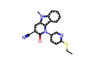 CCSc1ccc(-n2c(=O)c(C#N)cc3c2c2ccccc2n3C)cn1